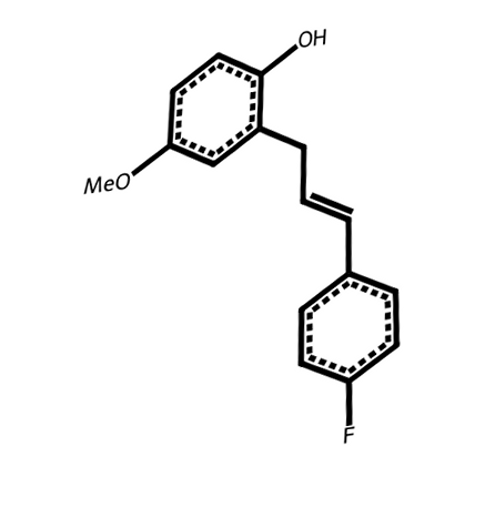 COc1ccc(O)c(CC=Cc2ccc(F)cc2)c1